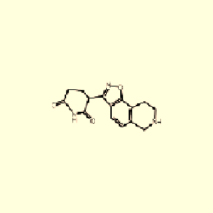 O=C1CCC(c2noc3c4c(ccc23)CNCC4)C(=O)N1